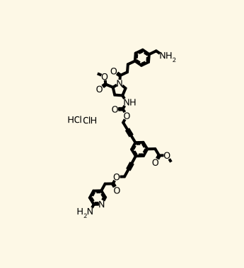 COC(=O)Cc1cc(C#CCOC(=O)Cc2ccc(N)nc2)cc(C#CCOC(=O)NC2CC(C(=O)OC)N(C(=O)CCc3ccc(CN)cc3)C2)c1.Cl.Cl